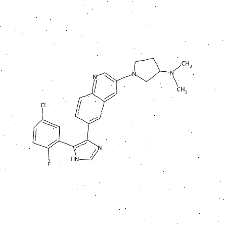 CN(C)C1CCN(c2cnc3ccc(-c4nc[nH]c4-c4cc(Cl)ccc4F)cc3c2)C1